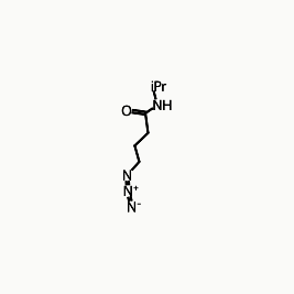 CC(C)NC(=O)CCCN=[N+]=[N-]